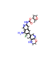 Cc1c(-c2cc3cc(NC(=O)O[C@@H]4CCOC4C)ncc3c(N)c2F)cnc2c1NCCO2